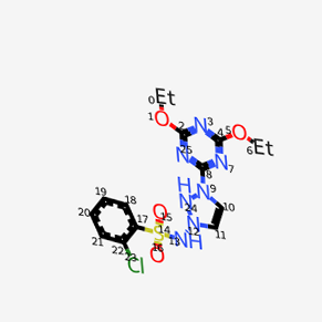 CCOc1nc(OCC)nc(N2C=CN(NS(=O)(=O)c3ccccc3Cl)N2)n1